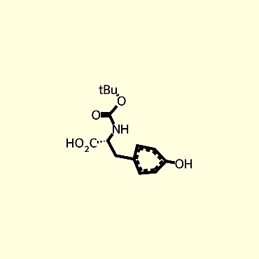 CC(C)(C)OC(=O)N[C@H](Cc1ccc(O)cc1)C(=O)O